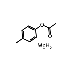 CC(=O)Oc1ccc(C)cc1.[MgH2]